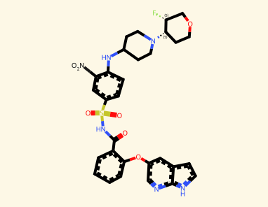 O=C(NS(=O)(=O)c1ccc(NC2CCN([C@H]3CCOC[C@H]3F)CC2)c([N+](=O)[O-])c1)c1ccccc1Oc1cnc2[nH]ccc2c1